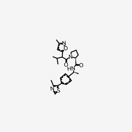 Cc1cc(C(C(=O)N2CCC[C@H]2C(=O)N[C@@H](C)c2ccc(-c3scnc3C)cc2)C(C)C)on1